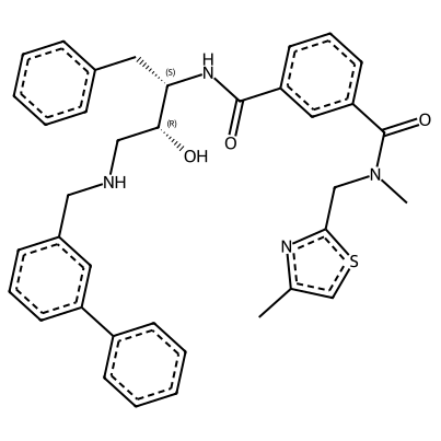 Cc1csc(CN(C)C(=O)c2cccc(C(=O)N[C@@H](Cc3ccccc3)[C@H](O)CNCc3cccc(-c4ccccc4)c3)c2)n1